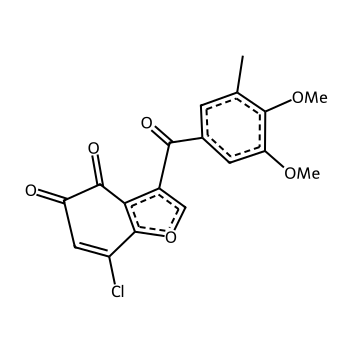 COc1cc(C(=O)c2coc3c2C(=O)C(=O)C=C3Cl)cc(C)c1OC